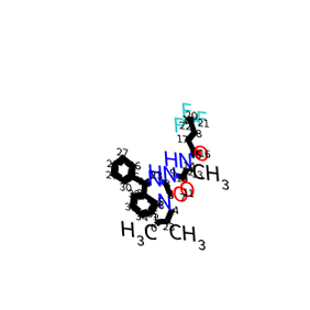 CCC(C)CN1C(=O)C(NC(=O)[C@H](C)NC(=O)CCC(F)(F)F)N=C(c2ccccc2)c2ccccc21